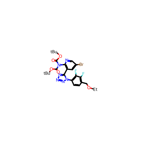 CCOCc1ccc(-n2nnnc2-c2cc(Br)cnc2N(C(=O)OC(C)(C)C)C(=O)OC(C)(C)C)c(F)c1F